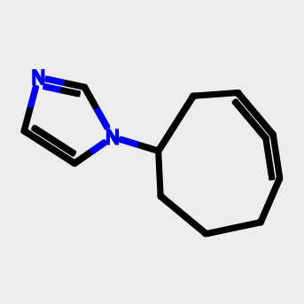 C1=CCCCC(n2ccnc2)CC=1